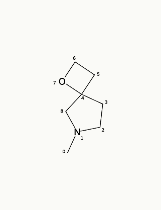 CN1CCC2(CCO2)C1